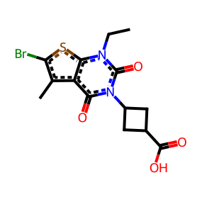 CCn1c(=O)n(C2CC(C(=O)O)C2)c(=O)c2c(C)c(Br)sc21